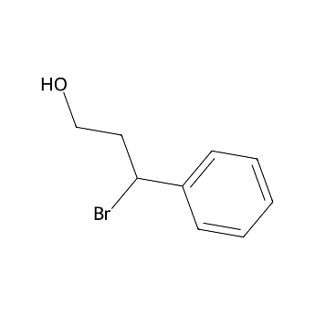 OCCC(Br)c1ccccc1